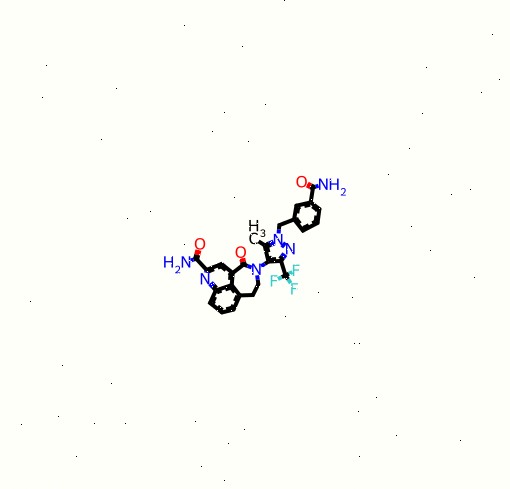 Cc1c(N2CCc3cccc4nc(C(N)=O)cc(c34)C2=O)c(C(F)(F)F)nn1Cc1cccc(C(N)=O)c1